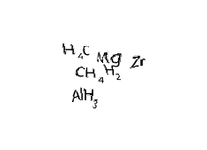 C.C.[AlH3].[MgH2].[Zr]